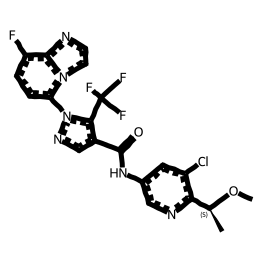 CO[C@@H](C)c1ncc(NC(=O)c2cnn(-c3ccc(F)c4nccn34)c2C(F)(F)F)cc1Cl